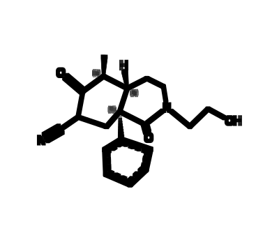 C[C@@H]1C(=O)C(C#N)C[C@]2(c3ccccc3)C(=O)N(CCO)CC[C@@H]12